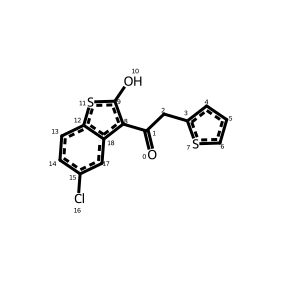 O=C(Cc1cccs1)c1c(O)sc2ccc(Cl)cc12